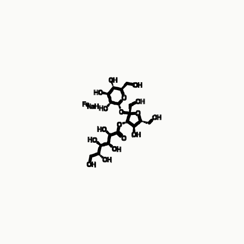 O=C(O[C@H]1[C@H](O)[C@@H](CO)O[C@@]1(CO)O[C@H]1O[C@H](CO)[C@@H](O)[C@H](O)[C@H]1O)[C@H](O)[C@@H](O)[C@H](O)[C@H](O)CO.[Fe].[NaH]